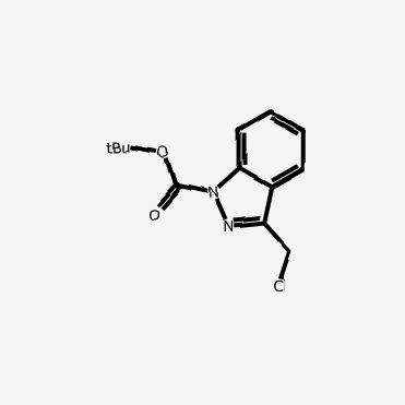 CC(C)(C)OC(=O)n1nc(CCl)c2ccccc21